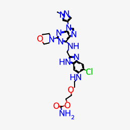 Cn1cc(-n2cnc3c(NCc4nc5cc(Cl)c(NCCOCCOC(N)=O)cc5[nH]4)nc(N4CCOCC4)nc32)cn1